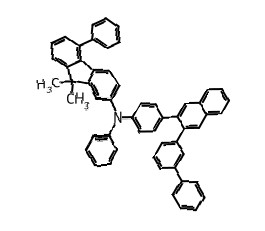 CC1(C)c2cc(N(c3ccccc3)c3ccc(-c4cc5ccccc5cc4-c4cccc(-c5ccccc5)c4)cc3)ccc2-c2c(-c3ccccc3)cccc21